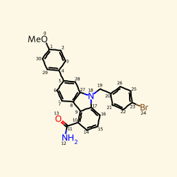 COc1ccc(-c2c[c]c3c4c(C(N)=O)cccc4n(Cc4ccc(Br)cc4)c3c2)cc1